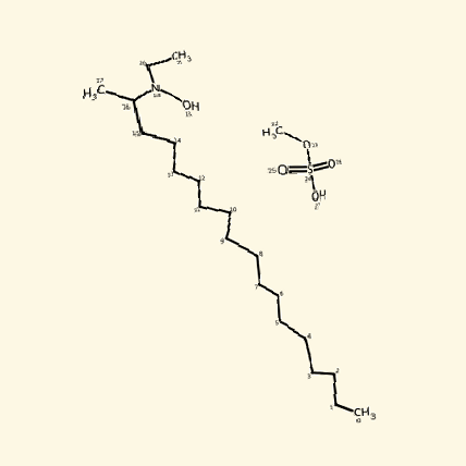 CCCCCCCCCCCCCCCCC(C)N(O)CC.COS(=O)(=O)O